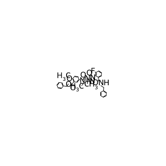 COc1ccc(N(C(=O)n2nnn(-c3c(F)cccc3C(=O)NCCc3ccccc3)c2=O)C(C)C)cc1C(=O)OCc1ccccc1